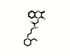 C=C1Sc2ccccc2N(CC(=O)NCCCN2CCCCC2CC)C1=O